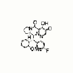 COc1ccccc1[C@@H](c1ccc(F)cc1)[C@H]1[C@H]2CCCN2C(=O)c2c(O)c(=O)cnn21